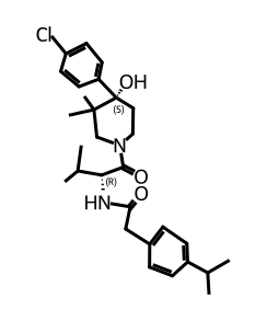 CC(C)c1ccc(CC(=O)N[C@@H](C(=O)N2CC[C@](O)(c3ccc(Cl)cc3)C(C)(C)C2)C(C)C)cc1